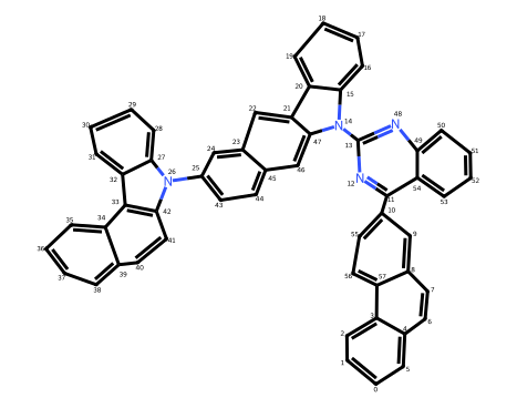 c1ccc2c(c1)ccc1cc(-c3nc(-n4c5ccccc5c5cc6cc(-n7c8ccccc8c8c9ccccc9ccc87)ccc6cc54)nc4ccccc34)ccc12